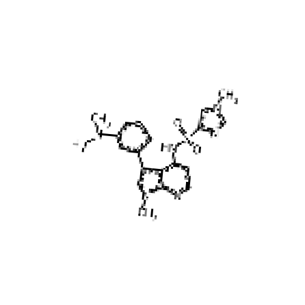 CN(C)c1cccc(-c2cn(C)c3nccc(NS(=O)(=O)c4cn(C)cn4)c23)c1